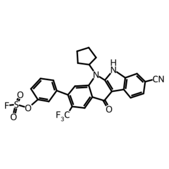 N#Cc1ccc2c(c1)[nH]c1c2c(=O)c2cc(C(F)(F)F)c(-c3cccc(OS(=O)(=O)F)c3)cc2n1C1CCCC1